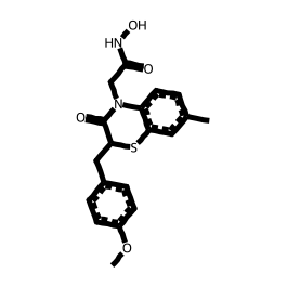 COc1ccc(CC2Sc3cc(C)ccc3N(CC(=O)NO)C2=O)cc1